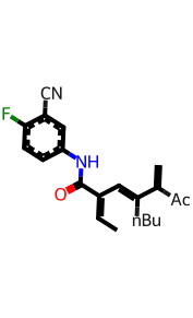 C=C(C(C)=O)/C(=C/C(=C\C)C(=O)Nc1ccc(F)c(C#N)c1)CCCC